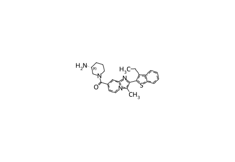 CCc1c(-c2nc3cc(C(=O)N4CCC[C@@H](N)C4)ccn3c2C)sc2ccccc12